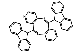 c1ccc2c(c1)-c1ccccc1C2/C1=N/c2ccncc2/C(C2c3ccccc3-c3ccccc32)=N\c2ccncc21